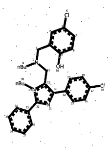 CCCCN(Cc1cc(Cl)ccc1O)Cc1c(-c2ccc(Cl)cc2)nc(-c2ccccc2)n1CCCC